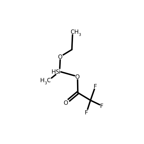 CCO[SiH](C)OC(=O)C(F)(F)F